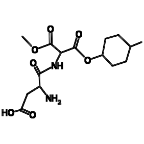 COC(=O)C(NC(=O)C(N)CC(=O)O)C(=O)OC1CCC(C)CC1